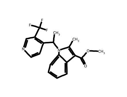 COC(=O)c1c(C)n(C(C)c2ccncc2C(F)(F)F)c2ccccc12